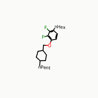 CCCCCCc1ccc(OCC2CCC(CCCCC)CC2)c(F)c1F